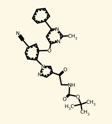 Cc1nc(Oc2cc(C#N)ccc2-n2cc(C(=O)CNC(=O)OC(C)(C)C)cn2)cc(-c2ccccc2)n1